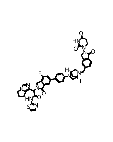 O=C1CCN(N2Cc3cc(CN4C[C@@H]5C[C@H]4CN5c4ccc(-c5cc(F)c6c(c5)C(=O)N(C(C(=O)Nc5nccs5)c5ncn7c5CCC7)C6)cc4)ccc3C2=O)C(=O)N1